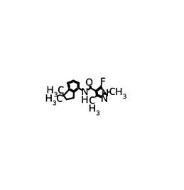 Cc1nn(C)c(F)c1C(=O)Nc1cccc2c1CCC2(C)C